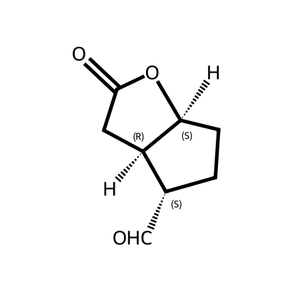 O=C[C@H]1CC[C@@H]2OC(=O)C[C@@H]21